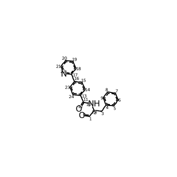 O=C[C@H](Cc1ccccc1)NC(=O)c1ccc(-c2ccccn2)cc1